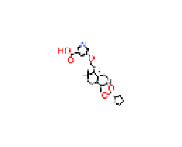 CC1(C)CCC2[C@]3(C)CO[C@@H](C4CCCC4)O[C@@H]3CC[C@@]2(C)[C@@H]1CCOc1cncc(C(=O)O)c1